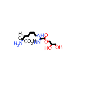 C[C@](N)(CC/C=C\CNC(=N)C(=O)OCC(O)CO)C(=O)O